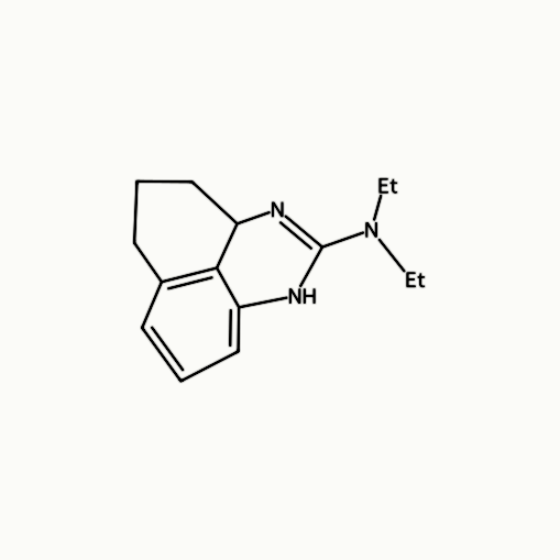 CCN(CC)C1=NC2CCCc3cccc(c32)N1